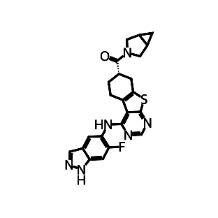 O=C([C@H]1CCc2c(sc3ncnc(Nc4cc5cn[nH]c5cc4F)c23)C1)N1CC2CC2C1